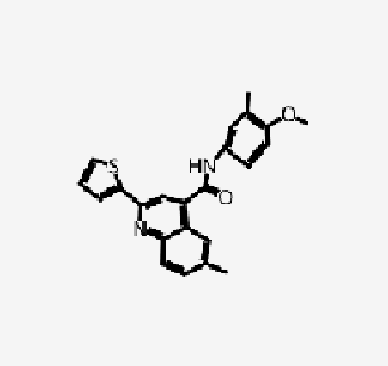 COc1ccc(NC(=O)c2cc(-c3cccs3)nc3ccc(C)cc23)cc1C